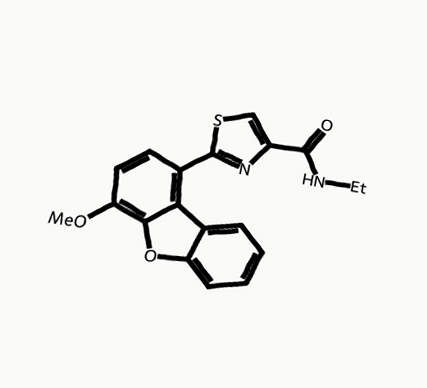 CCNC(=O)c1csc(-c2ccc(OC)c3oc4ccccc4c23)n1